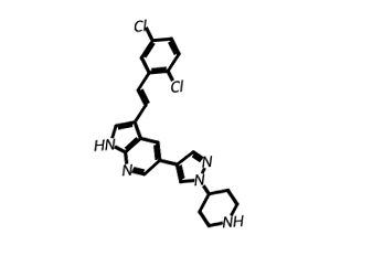 Clc1ccc(Cl)c(/C=C/c2c[nH]c3ncc(-c4cnn(C5CCNCC5)c4)cc23)c1